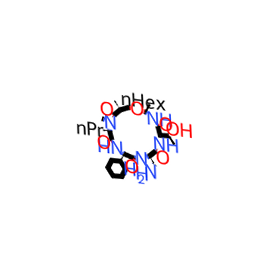 CCCCCC[C@H]1O[C@@H](C)NC(=O)[C@H]([C@H](C)O)NC(=O)[C@H](CN)NC(=O)[C@H](C2CCCCC2)NC(=O)[C@H](CCC)N(C)C(=O)[C@@H]1C